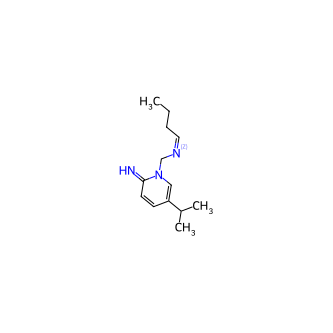 CCC/C=N\Cn1cc(C(C)C)ccc1=N